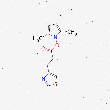 Cc1ccc(C)n1OC(=O)CCc1cscn1